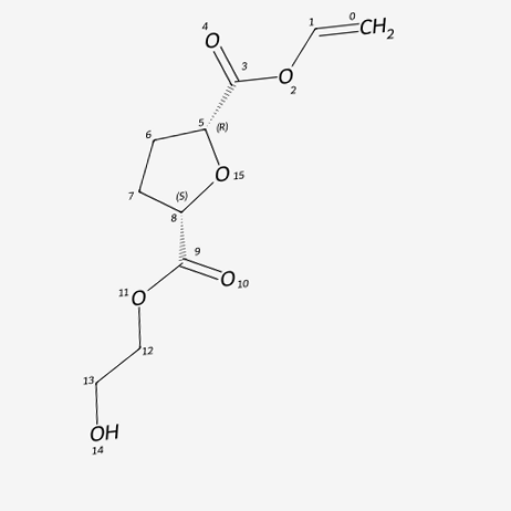 C=COC(=O)[C@H]1CC[C@@H](C(=O)OCCO)O1